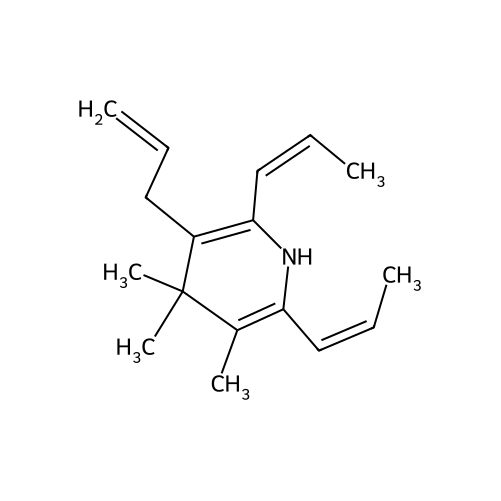 C=CCC1=C(/C=C\C)NC(/C=C\C)=C(C)C1(C)C